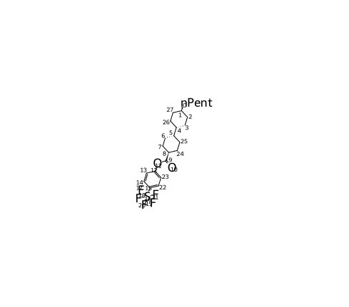 CCCCC[C@H]1CC[C@H]([C@H]2CC[C@H](C(=O)Oc3ccc(S(F)(F)(F)(F)F)cc3)CC2)CC1